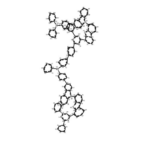 c1ccc(-c2nc(-c3ccc(-c4ccc(N(c5ccccc5)c5ccc(-c6ccc7c(c6)c6ccccc6n7-c6cccc7c6sc6c(-c8nc(-c9ccccc9)nc(-c9ccccc9)n8)cccc67)cc5)cc4)cc3)nc(-c3cccc4c3oc3c(-n5c6ccccc6c6cc(-c7ccc(N(c8ccccc8)c8ccccc8)cc7)ccc65)cccc34)n2)cc1